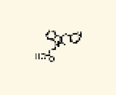 Cc1c(Cc2cccnc2)c2ccccc2n1CCC(=O)O